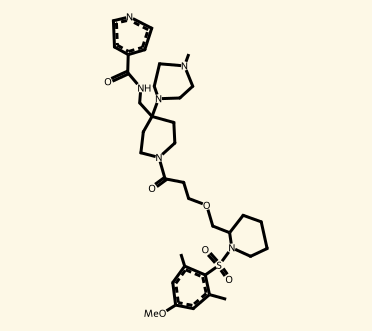 COc1cc(C)c(S(=O)(=O)N2CCCCC2COCCC(=O)N2CCC(CNC(=O)c3ccncc3)(N3CCN(C)CC3)CC2)c(C)c1